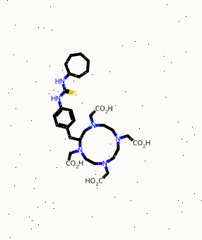 O=C(O)CN1CCN(CC(=O)O)CCN(CC(=O)O)C(Cc2ccc(NC(=S)NC3CCCCCC3)cc2)CN(CC(=O)O)CC1